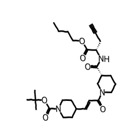 C#CC[C@H](NC(=O)[C@@H]1CCCN(C(=O)/C=C/C2CCN(C(=O)OC(C)(C)C)CC2)C1)C(=O)OCCCC